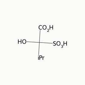 CC(C)C(O)(C(=O)O)S(=O)(=O)O